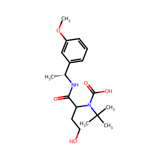 COc1cccc([C@@H](C)NC(=O)C(CCO)N(C(=O)O)C(C)(C)C)c1